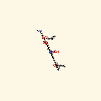 CC/C=C\CCCCOC(CCC(=O)OCCCCCCCN(CCO)CCCCCCCCCOC(=O)C(CCCC)CCCCCC)OCCCC/C=C\CC